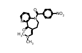 CN(C)C=C1CCN(C(=O)c2ccc([N+](=O)[O-])cc2)c2cccnc2C1=O